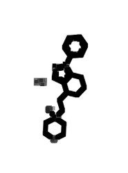 Cl.[O-][N+]1(CCC2CCCc3c2cnn3-c2ccccc2)CCOCC1